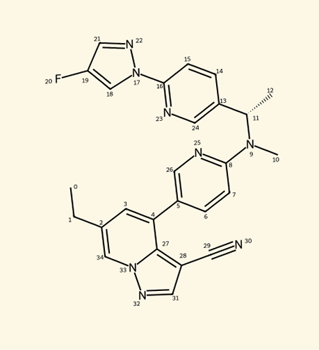 CCc1cc(-c2ccc(N(C)[C@@H](C)c3ccc(-n4cc(F)cn4)nc3)nc2)c2c(C#N)cnn2c1